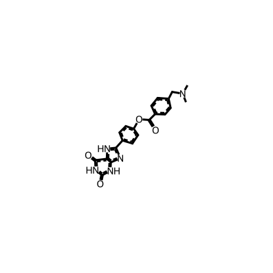 CN(C)Cc1ccc(C(=O)Oc2ccc(-c3nc4[nH]c(=O)[nH]c(=O)c4[nH]3)cc2)cc1